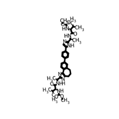 COC(=O)N[C@H](C(=O)N[C@@H](C)c1ncc(-c2ccc(-c3ccc4c(c3)CCCc3[nH]c([C@H](C)NC(=O)[C@@H](NC(=O)OC)C(C)C)nc3-4)cc2)[nH]1)C(C)C